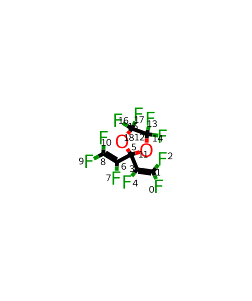 FC(F)=C(F)C1(C(F)=C(F)F)OC(F)(F)C(F)(F)O1